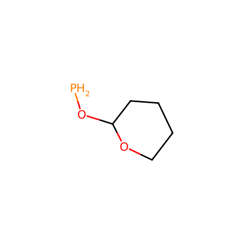 POC1CCCCO1